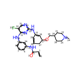 C=CC(=O)Nc1cccc(Nc2nc(NC3=CC(OCC4CCN(C)CC4)CC=C3)ncc2F)c1